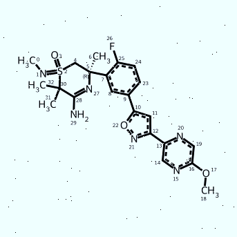 CN=S1(=O)C[C@@](C)(c2cc(-c3cc(-c4cnc(OC)cn4)no3)ccc2F)N=C(N)C1(C)C